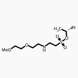 COCCOCCNCCS(=O)(=O)O[C@H](C)C(C)C